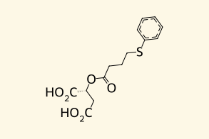 O=C(O)C[C@@H](OC(=O)CCCSc1ccccc1)C(=O)O